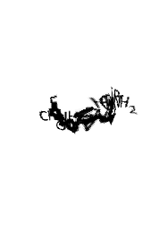 CC(C)[C@H](N)C(=O)OCC1(CNc2nc3c(s2)CN(C(=O)c2cc4c(Cl)cc(F)cc4[nH]2)CC3)CC1